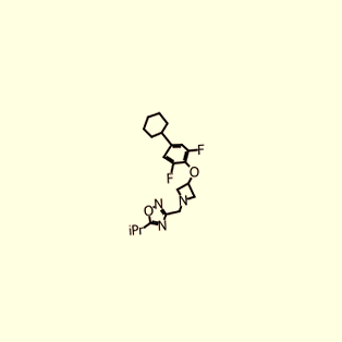 CC(C)c1nc(CN2CC(Oc3c(F)cc(C4CCCCC4)cc3F)C2)no1